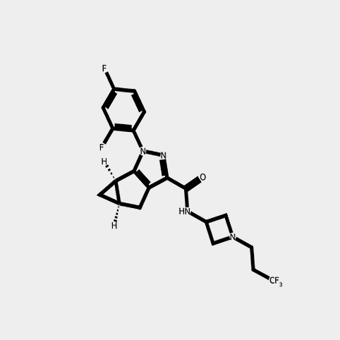 O=C(NC1CN(CCC(F)(F)F)C1)c1nn(-c2ccc(F)cc2F)c2c1C[C@H]1C[C@@H]21